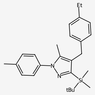 CCc1ccc(Cc2c([Si](C)(C)C(C)(C)C)nn(-c3ccc(C)cc3)c2C)cc1